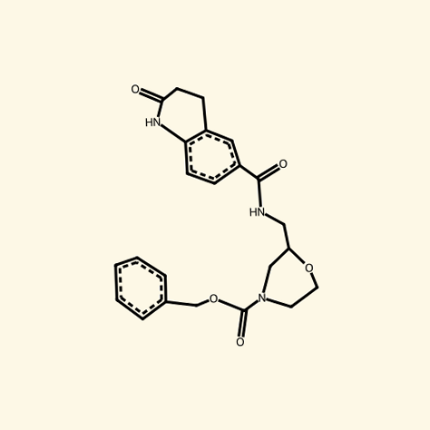 O=C1CCc2cc(C(=O)NCC3CN(C(=O)OCc4ccccc4)CCO3)ccc2N1